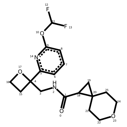 O=C(NCC1(c2cccc(OC(F)F)n2)CCO1)C1CC12CCOCC2